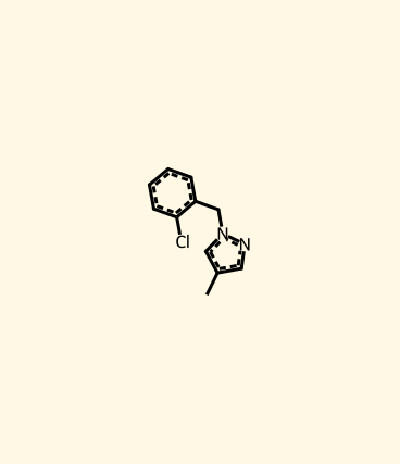 Cc1cnn(Cc2ccccc2Cl)c1